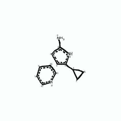 Nc1ccc(C2CC2)[nH]1.c1ccncc1